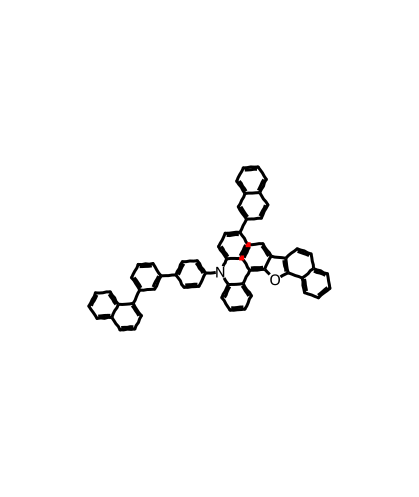 c1cc(-c2ccc(N(c3ccc(-c4ccc5ccccc5c4)cc3)c3ccccc3-c3cccc4c3oc3c5ccccc5ccc43)cc2)cc(-c2cccc3ccccc23)c1